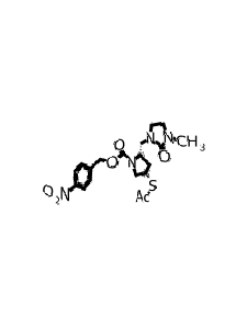 CC(=O)S[C@H]1C[C@@H](CN2CCN(C)C2=O)N(C(=O)OCc2ccc([N+](=O)[O-])cc2)C1